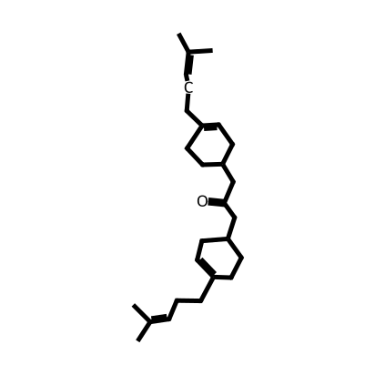 CC(C)=CCCC1=CCC(CC(=O)CC2CC=C(CCC=C(C)C)CC2)CC1